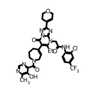 CCc1c(C2=CCN(C(=O)c3ncnc(C)c3O)CCC2)c(=O)n2nc(C3=CCOCC3)nc2n1CC(=O)Nc1ccc(C(F)(F)F)cc1Cl